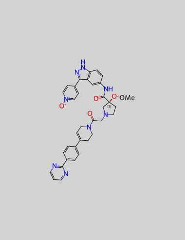 COO[C@@]1(C(=O)Nc2ccc3[nH]nc(-c4cc[n+]([O-])cc4)c3c2)CCN(CC(=O)N2CC=C(c3ccc(-c4ncccn4)cc3)CC2)C1